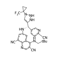 CC(C)(C)CNc1c(C#N)cnc2c(C#N)cc(N[C@H](C3=CN(C4(C(F)(F)F)CC4)NN3)c3ccc(C#N)nc3)cc12